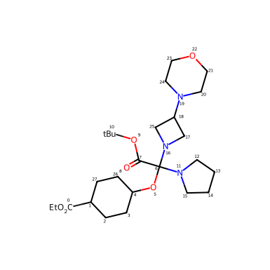 CCOC(=O)C1CCC(OC(C(=O)OC(C)(C)C)(N2CCCC2)N2CC(N3CCOCC3)C2)CC1